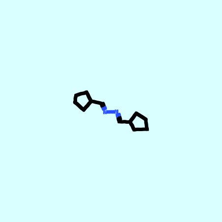 C(=N\N=C\C1CCCC1)/C1CCCC1